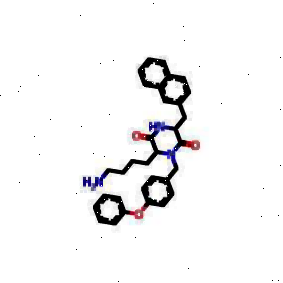 NCCCCC1C(=O)NC(Cc2ccc3ccccc3c2)C(=O)N1Cc1ccc(Oc2ccccc2)cc1